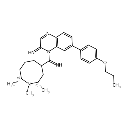 CCCOc1ccc(-c2ccc3ncc(=N)n(C(=N)C4CCC[C@@H](C)N(C)[C@@H](C)C4)c3c2)cc1